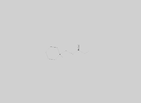 CCC(=O)NCC1(O)CCCCC1